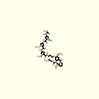 BC(=O)Nc1cc(C(=O)Nc2cc(C(=O)Nc3cc(C(=O)NCCCOc4cc5c(cc4OC)C(=O)N4CCC[C@H]4[C@H](O)N5C(=O)OCC=C)n(C)c3)n(C)c2)n(C)c1